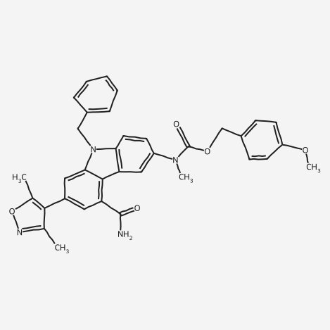 COc1ccc(COC(=O)N(C)c2ccc3c(c2)c2c(C(N)=O)cc(-c4c(C)noc4C)cc2n3Cc2ccccc2)cc1